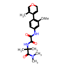 COc1cc(NC(=O)C(=O)NC(C)(C)C(=O)N(C)C)ccc1C1=CCOC=C1C